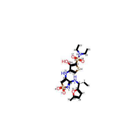 CC[C@@H](NC1=NS(=O)(=O)C=C1Nc1csc(S(=O)(=O)N(CC)CC)c1O)c1ccc(C)o1